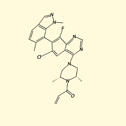 C=CC(=O)N1[C@H](C)CN(c2ncnc3c(F)c(-c4c(C)ccc5cnn(C)c45)c(Cl)cc23)C[C@@H]1C